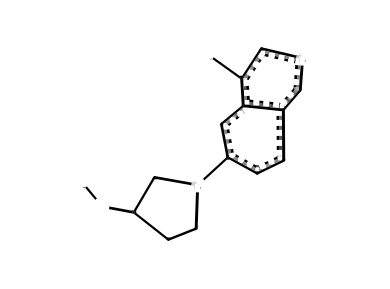 Clc1cncc2ccc(N3CCC(OI)C3)cc12